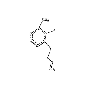 C=CCCc1ccnc(OC)c1I